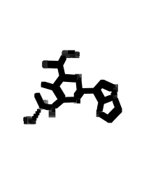 COC(=O)c1nc(-c2cnn3ccsc23)nc(N[C@@H](C)C(C)(C)C)c1C